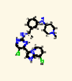 C[C@H](Nc1ncc(Cl)c(-c2cnc3c(Cl)cccn23)n1)c1cccc(NC2CCN(C)CC2)c1